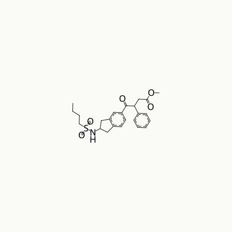 CCCCS(=O)(=O)NC1Cc2ccc(C(=O)C(CC(=O)OC)c3ccccc3)cc2C1